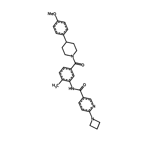 COc1ccc(C2CCN(C(=O)c3ccc(C)c(NC(=O)c4ccc(N5CCC5)nc4)c3)CC2)cc1